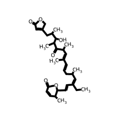 CCC(=C/C(C)C/C=C/C(C)=C/C(C)C(=O)C(C)C(O)C(C)CC1=CC(=O)OC1)/C=C/C1OC(=O)C=CC1C